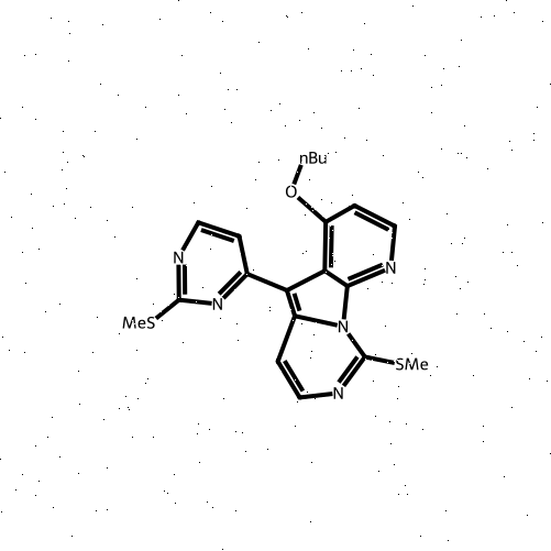 CCCCOc1ccnc2c1c(-c1ccnc(SC)n1)c1ccnc(SC)n12